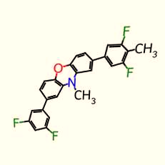 Cc1c(F)cc(-c2ccc3c(c2)N(C)c2cc(-c4cc(F)cc(F)c4)ccc2O3)cc1F